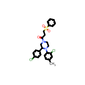 Cc1ccc(N2CCN(C(=O)CCS(=O)(=O)c3ccccc3)CC2c2ccc(Cl)cc2)c(Cl)c1